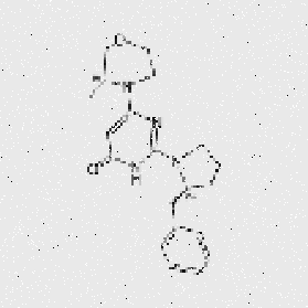 C[C@@H]1COCCN1c1cc(=O)[nH]c(N2CCC[C@H]2Cc2ccccc2)n1